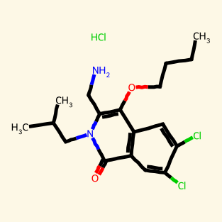 CCCCOc1c(CN)n(CC(C)C)c(=O)c2cc(Cl)c(Cl)cc12.Cl